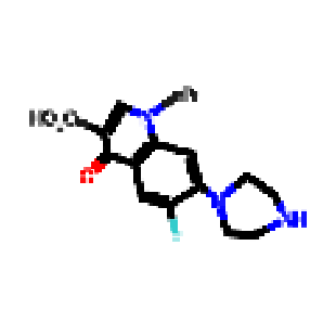 CCCn1cc(C(=O)O)c(=O)c2cc(F)c(N3CCNCC3)cc21